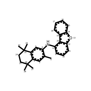 Cc1cc2c(cc1Nc1cccc3oc4ccccc4c13)C(C)(C)CCC2(C)C